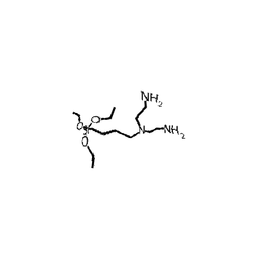 CCO[Si](CCCN(CCN)CCN)(OCC)OCC